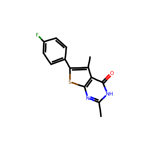 Cc1nc2sc(-c3ccc(F)cc3)c(C)c2c(=O)[nH]1